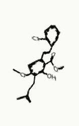 C=C(C)CCc1c(OC)cc(/C=C/c2ccccc2Cl)c(C(=O)OC)c1O